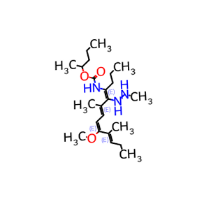 CC/C=C(C)/C(=C\C=C(C)\C(NNC)=C(\CCC)NC(=O)OC(C)CCC)OC